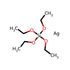 CCO[Si](OCC)(OCC)OCC.[Ag]